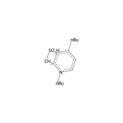 CCCCc1cc[n+](CCCC)cc1.CS(=O)(=O)O